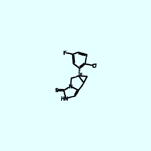 Fc1ccc(Cl)c([C@]23CC2c2c[nH]c(=S)n2C3)c1